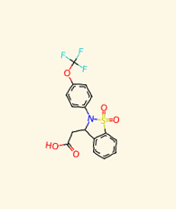 O=C(O)CC1c2ccccc2S(=O)(=O)N1c1ccc(OC(F)(F)F)cc1